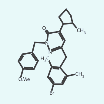 COc1ccc(Cn2nc(Cc3c(C)cc(Br)cc3C)cc(C3CCCC3C)c2=O)cc1